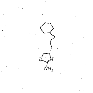 NC1=N[C@@H](CCOC2CCCCC2)CO1